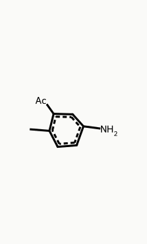 CC(=O)c1cc(N)ccc1C